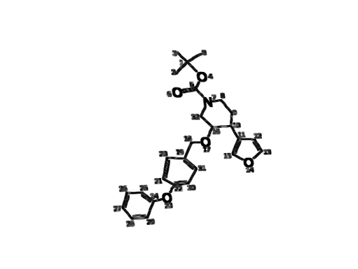 CC(C)(C)OC(=O)N1CCC(c2ccoc2)C(OCc2ccc(Oc3ccccc3)cc2)C1